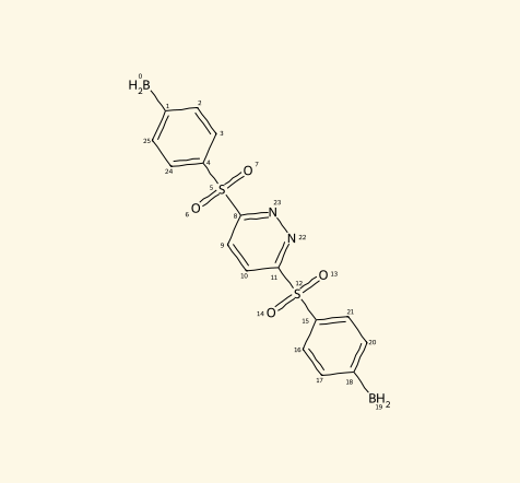 Bc1ccc(S(=O)(=O)c2ccc(S(=O)(=O)c3ccc(B)cc3)nn2)cc1